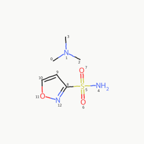 CN(C)C.NS(=O)(=O)c1ccon1